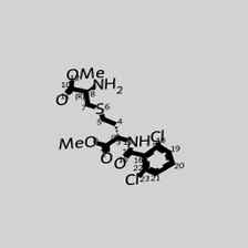 COC(=O)[C@H](CCSC[C@H](N)C(=O)OC)NC(=O)c1c(Cl)cccc1Cl